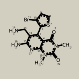 Cn1c(=O)c2c(-c3sccc3Br)c(CN)c(N)nc2n(C)c1=O